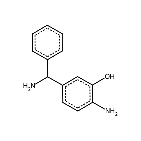 Nc1ccc(C(N)c2ccccc2)cc1O